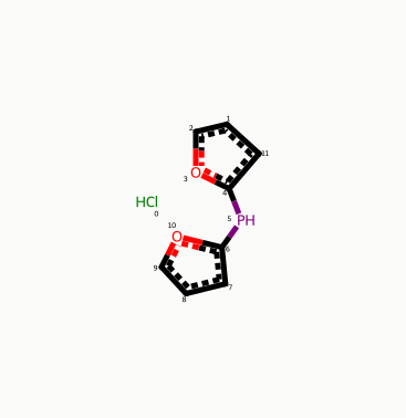 Cl.c1coc(Pc2ccco2)c1